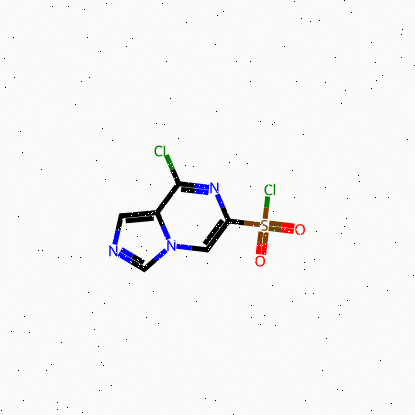 O=S(=O)(Cl)c1cn2cncc2c(Cl)n1